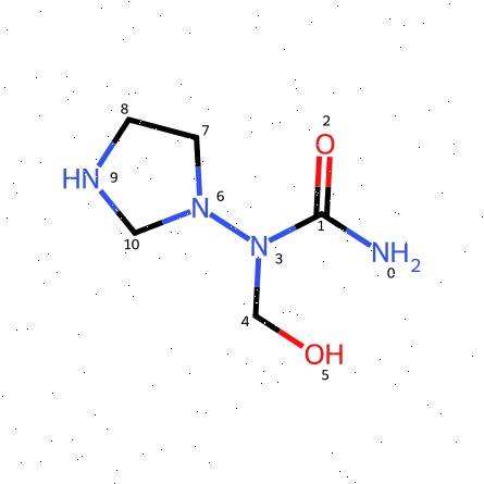 NC(=O)N(CO)N1CCNC1